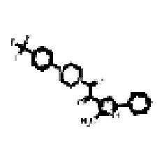 Cc1[nH]c(-c2ccccc2)cc1C(=O)C(=O)N1CCN(c2ccc(C(F)(F)F)cc2)CC1